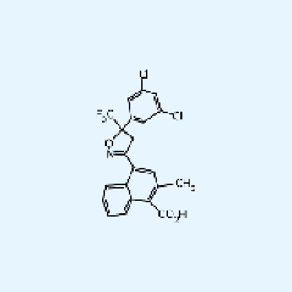 Cc1cc(C2=NOC(c3cc(Cl)cc(Cl)c3)(C(F)(F)F)C2)c2ccccc2c1C(=O)O